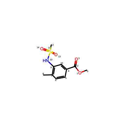 COC(=O)c1ccc(C)c(NS(C)(=O)=O)c1